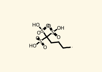 [CH2]CCCC(S(=O)(=O)O)(S(=O)(=O)O)S(=O)(=O)O